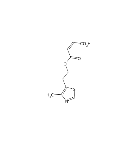 Cc1ncsc1CCOC(=O)/C=C\C(=O)O